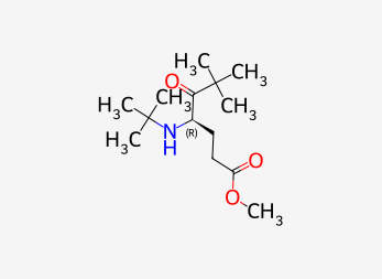 COC(=O)CC[C@@H](NC(C)(C)C)C(=O)C(C)(C)C